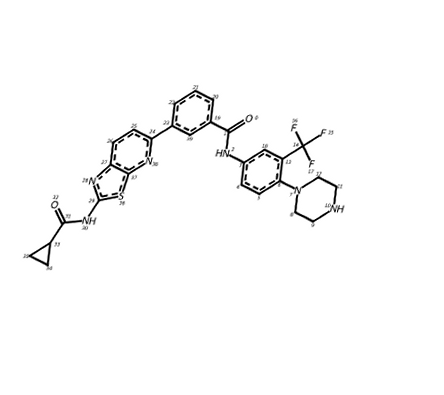 O=C(Nc1ccc(N2CCNCC2)c(C(F)(F)F)c1)c1cccc(-c2ccc3nc(NC(=O)C4CC4)sc3n2)c1